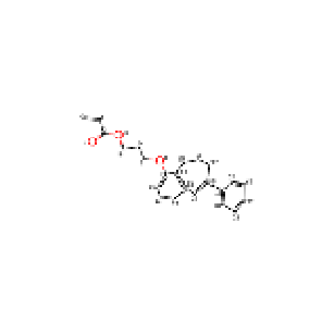 C=CC(=O)OCCCOc1cccc2c1CCCC(c1ccccc1)=C2